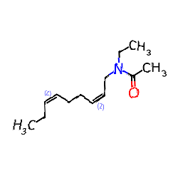 CC/C=C\CC/C=C\CN(CC)C(C)=O